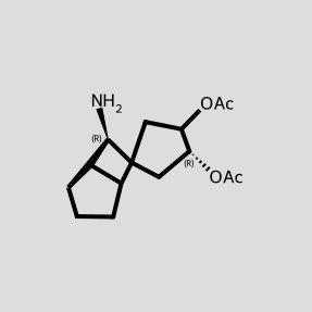 CC(=O)OC1CC2(C[C@H]1OC(C)=O)C1CCC3C1[C@]32N